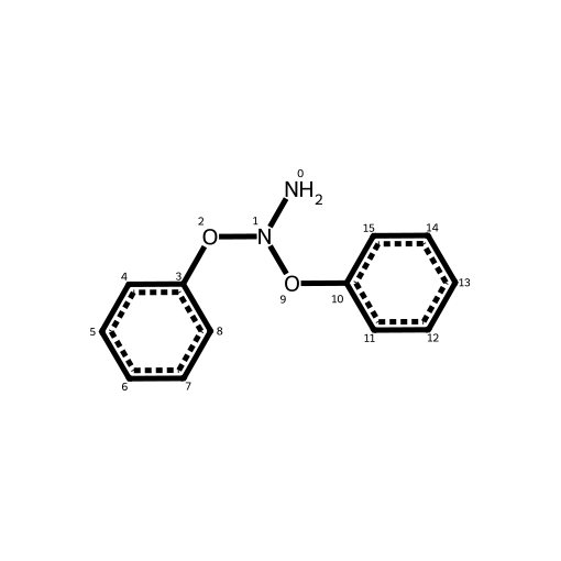 NN(Oc1ccccc1)Oc1ccccc1